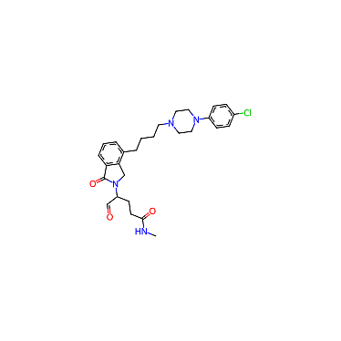 CNC(=O)CCC(C=O)N1Cc2c(CCCCN3CCN(c4ccc(Cl)cc4)CC3)cccc2C1=O